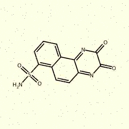 NS(=O)(=O)c1cccc2c3c(ccc12)=NC(=O)C(=O)N=3